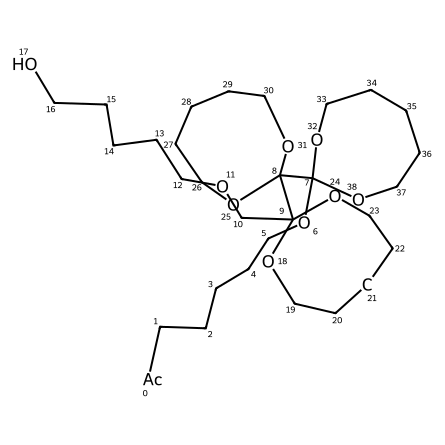 CC(=O)CCCCCOC1(C2(C3(COCCCCCO)OCCCCCO3)OCCCCCO2)OCCCCCO1